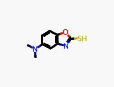 CN(C)c1ccc2oc(S)nc2c1